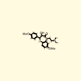 COc1ccc(C2Sc3ccc(OC)cc3N(CCN(C)C)C(=O)C2O)cc1